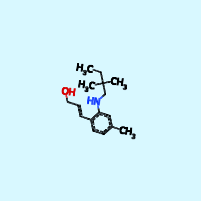 CCC(C)(C)CNc1cc(C)ccc1/C=C/CO